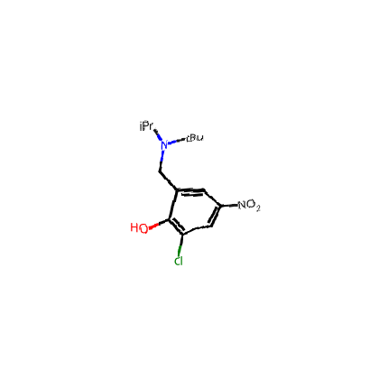 CC(C)N(Cc1cc([N+](=O)[O-])cc(Cl)c1O)C(C)(C)C